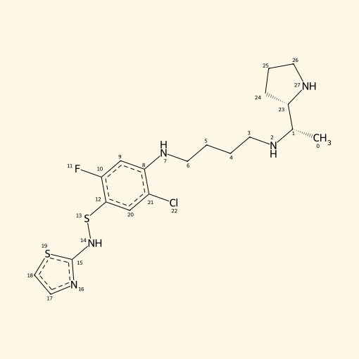 C[C@H](NCCCCNc1cc(F)c(SNc2nccs2)cc1Cl)[C@@H]1CCCN1